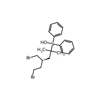 CC(C)(C[C@H](CBr)CCBr)[Si](O)(c1ccccc1)c1ccccc1